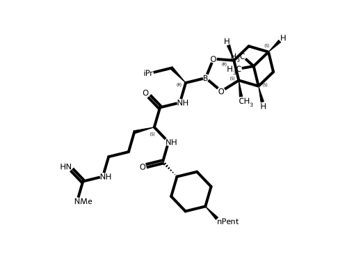 CCCCC[C@H]1CC[C@H](C(=O)N[C@@H](CCCNC(=N)NC)C(=O)N[C@@H](CC(C)C)B2O[C@@H]3C[C@@H]4C[C@@H](C4(C)C)[C@]3(C)O2)CC1